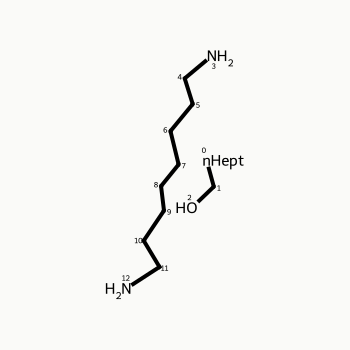 CCCCCCCCO.NCCCCCCCCN